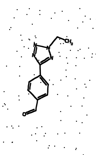 CCn1nnc(-c2ccc(C=O)cc2)n1